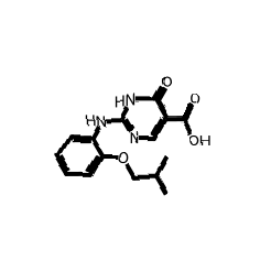 CC(C)COc1ccccc1Nc1ncc(C(=O)O)c(=O)[nH]1